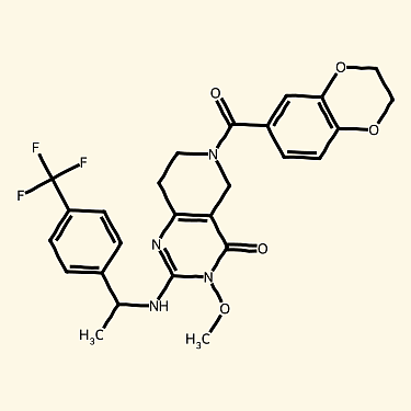 COn1c(NC(C)c2ccc(C(F)(F)F)cc2)nc2c(c1=O)CN(C(=O)c1ccc3c(c1)OCCO3)CC2